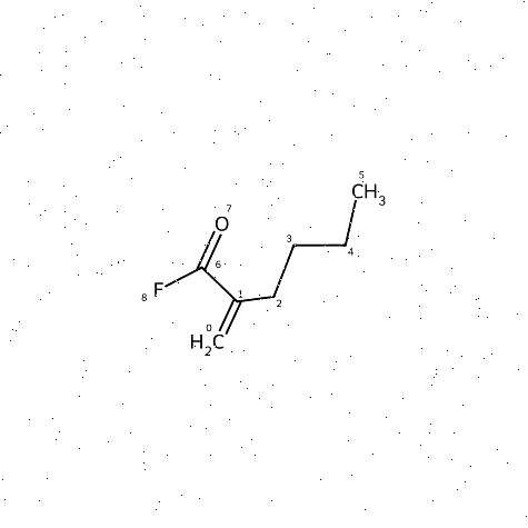 C=C(CCCC)C(=O)F